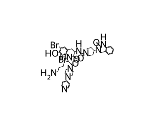 NCCCCC(NC(=O)C(Cc1cc(Br)c(O)c(Br)c1)NC(=O)N1CCC(N2Cc3ccccc3NC2=O)CC1)C(=O)N1CCN(c2ccncc2)CC1